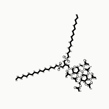 CCCCCCCCCCCCCCCCS(=O)(=O)CC(CO[C@@H]1O[C@H](COC(C)=O)[C@H](O[C@H]2O[C@H](COC(C)=O)[C@H](OC(C)=O)[C@H](OC(C)=O)[C@H]2OC(C)=O)[C@H](OC(C)=O)[C@H]1OC(C)=O)CS(=O)(=O)CCCCCCCCCCCCCCCC